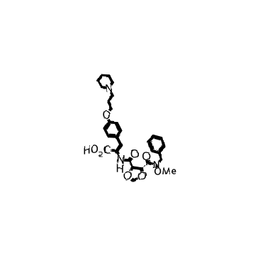 CON(Cc1ccccc1)C(=O)[C@@H]1OCO[C@H]1C(=O)NC(Cc1ccc(OCCCN2CCCCC2)cc1)C(=O)O